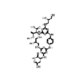 C=C(OO)C(Nc1nc(NCC(O)CO)nc(Nc2ccc(Nc3nc(NCC(O)CO)nc(NC(CC(=O)O)C(=O)O)n3)cc2)n1)C(=O)O